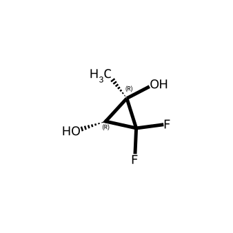 C[C@@]1(O)[C@@H](O)C1(F)F